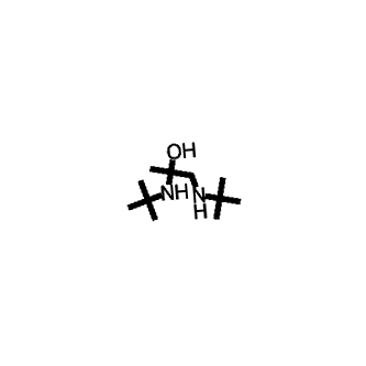 CC(C)(C)NCC(C)(O)NC(C)(C)C